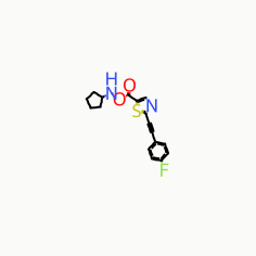 O=C(ONC1CCCC1)c1cnc(C#Cc2ccc(F)cc2)s1